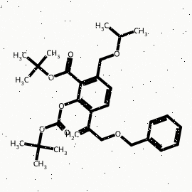 C=C(COCc1ccccc1)c1ccc(COC(C)C)c(C(=O)OC(C)(C)C)c1OC(=O)OC(C)(C)C